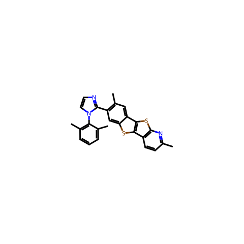 Cc1ccc2c(n1)sc1c3cc(C)c(-c4nccn4-c4c(C)cccc4C)cc3sc21